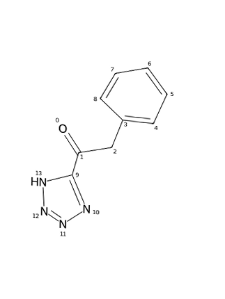 O=C(Cc1ccccc1)c1nnn[nH]1